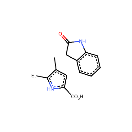 CCc1[nH]c(C(=O)O)cc1C.O=C1Cc2ccccc2N1